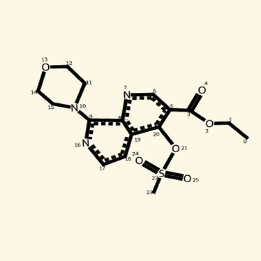 CCOC(=O)c1cnc2c(N3CCOCC3)nccc2c1OS(C)(=O)=O